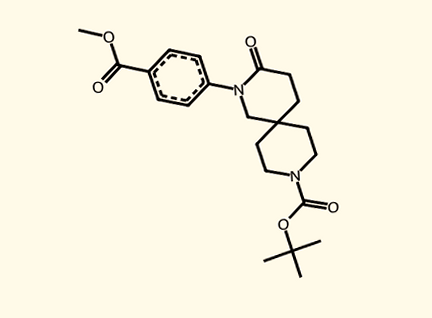 COC(=O)c1ccc(N2CC3(CCC2=O)CCN(C(=O)OC(C)(C)C)CC3)cc1